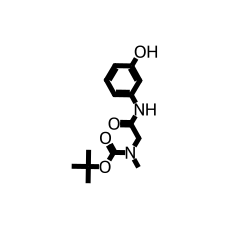 CN(CC(=O)Nc1cccc(O)c1)C(=O)OC(C)(C)C